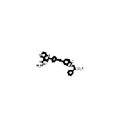 NNC(=O)c1cc(-c2ccc(C#Cc3ccc(C(=O)NCC(C(=O)O)c4ccccc4)cc3)cc2)nc2ccncc12